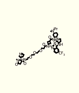 CC(C)N(C)[C@@H]1CC[C@H](N2CC[C@H](Nc3ncnc4ccc(C(F)(F)F)cc34)C2=O)[C@H](NC(=O)C2CC(NC(=O)CCOCCOCCOCCNC(=O)[C@H]3CC(=O)N(C)[C@@H]3c3cccnc3)C2)C1